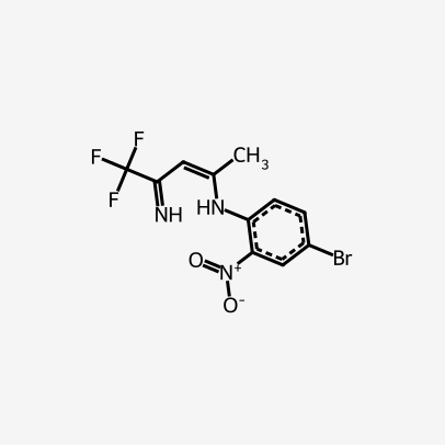 C/C(=C/C(=N)C(F)(F)F)Nc1ccc(Br)cc1[N+](=O)[O-]